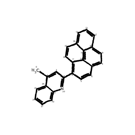 Cc1cc(-c2ccc3ccc4cccc5ccc2c3c45)nc2ccccc12